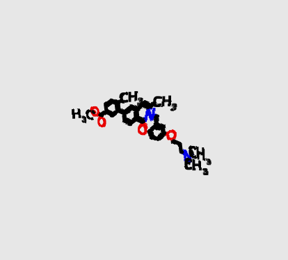 COC(=O)c1ccc(C)c(-c2ccc3c(=O)n(Cc4cccc(OCCCN(C)C)c4)c(C)cc3c2)c1